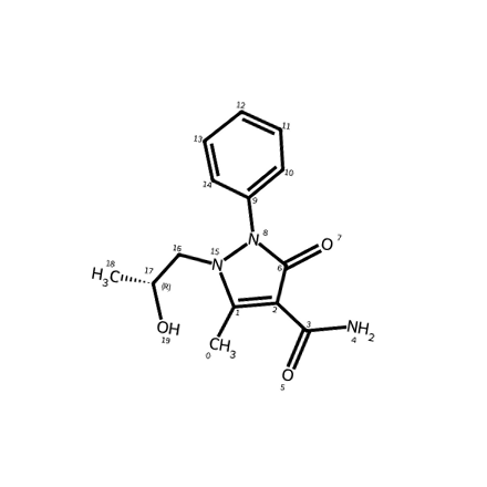 Cc1c(C(N)=O)c(=O)n(-c2ccccc2)n1C[C@@H](C)O